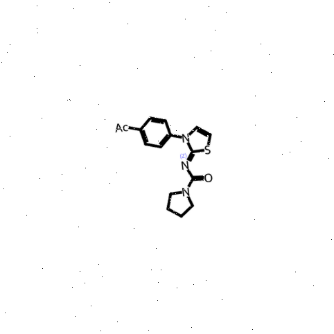 CC(=O)c1ccc(-n2ccs/c2=N\C(=O)N2CCCC2)cc1